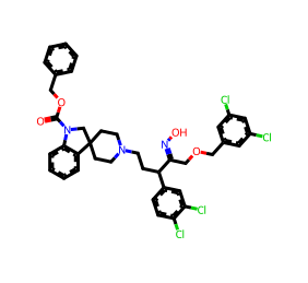 O=C(OCc1ccccc1)N1CC2(CCN(CCC(C(COCc3cc(Cl)cc(Cl)c3)=NO)c3ccc(Cl)c(Cl)c3)CC2)c2ccccc21